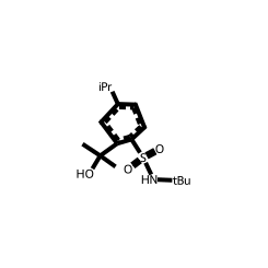 CC(C)c1ccc(S(=O)(=O)NC(C)(C)C)c(C(C)(C)O)c1